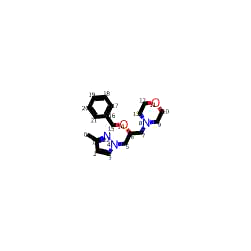 Cc1ccn(CC(CN2CCOCC2)OCc2ccccc2)n1